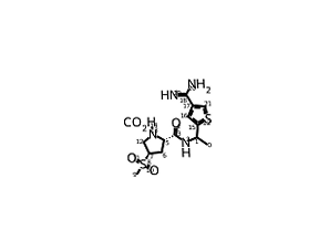 CC(NC(=O)[C@@H]1C[C@@H](S(C)(=O)=O)CN1C(=O)O)c1cc(C(=N)N)cs1